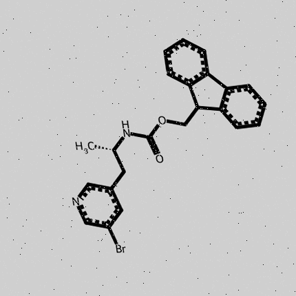 C[C@@H](Cc1cncc(Br)c1)NC(=O)OCC1c2ccccc2-c2ccccc21